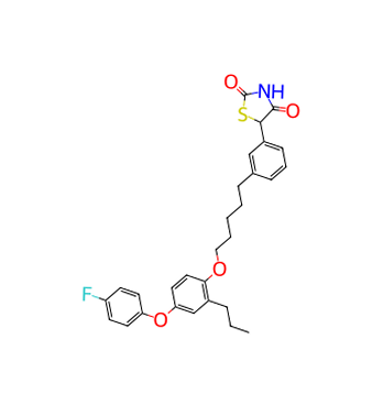 CCCc1cc(Oc2ccc(F)cc2)ccc1OCCCCCc1cccc(C2SC(=O)NC2=O)c1